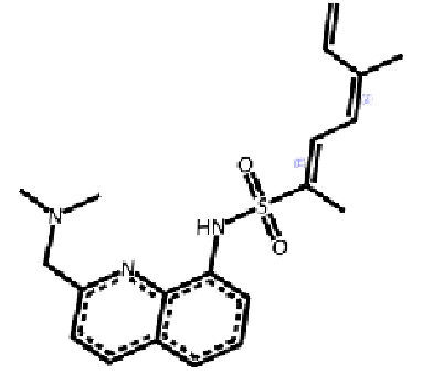 C=C/C(C)=C\C=C(/C)S(=O)(=O)Nc1cccc2ccc(CN(C)C)nc12